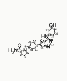 NC(=O)C1CCCN1Cc1ccc(-c2cc3ncnc(Nc4cccc(O)c4)c3s2)cc1